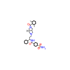 Cc1cccc(C)c1C(=O)N1CC2CN(CCC(NC(=O)c3ccc(S(N)(=O)=O)cc3)c3ccccc3)C[C@H]2C1